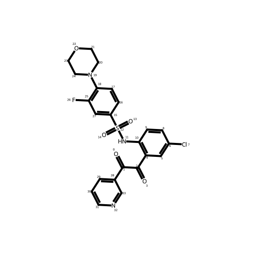 O=C(C(=O)c1cc(Cl)ccc1NS(=O)(=O)c1ccc(N2CCOCC2)c(F)c1)c1cccnc1